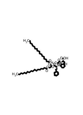 CCCCCCCCCCCCCCCCCC(=O)OCC(COC(=O)CCCCCCCCCCCCCCCCC)OC(=O)[C@H](CCc1ccccc1)N[C@@H](C)C(=O)N1[C@H](C(=O)O)C[C@@H]2CCCC[C@@H]21